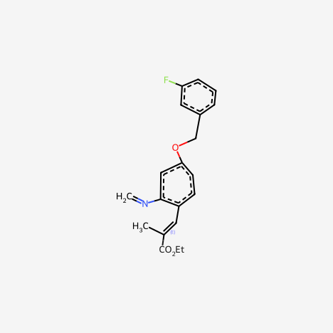 C=Nc1cc(OCc2cccc(F)c2)ccc1/C=C(\C)C(=O)OCC